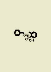 Cc1ccccc1P(=O)(O)OOCc1ccccc1